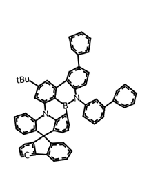 CC(C)(C)c1cc2c3c(c1)N1c4ccccc4C4(c5ccccc5-c5ccccc54)c4cccc(c41)B3N(c1cccc(-c3ccccc3)c1)c1ccc(-c3ccccc3)cc1-2